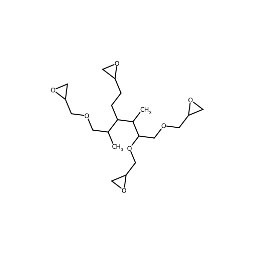 CC(COCC1CO1)C(CCC1CO1)C(C)C(COCC1CO1)OCC1CO1